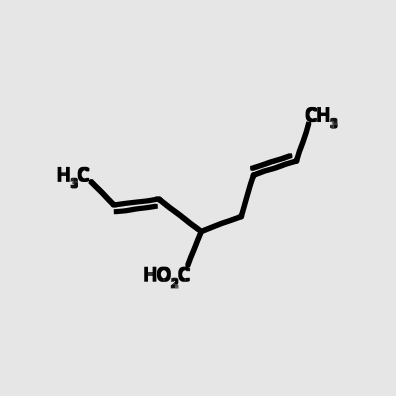 C/C=C/CC(/C=C/C)C(=O)O